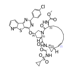 COC(=O)N[C@H]1CCCCC/C=C\[C@@H]2C[C@@]2(C(=O)NS(=O)(=O)C2CC2)NC(=O)[C@@H]2C[C@@H](Oc3nc(-c4ccc(Cl)cc4)nc4c3sc3ncccc34)CN2C1=O